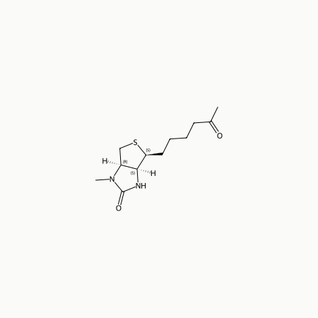 CC(=O)CCCC[C@@H]1SC[C@H]2[C@@H]1NC(=O)N2C